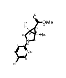 COC(=O)C1[C@H]2CN(c3ccc(I)cn3)C[C@@H]12